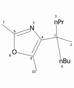 CCCCC(C)(CCC)c1nc(C)oc1C